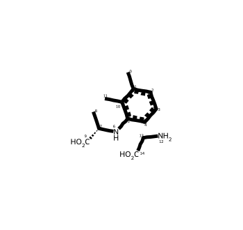 Cc1cccc(N[C@@H](C)C(=O)O)c1C.NCC(=O)O